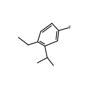 CCc1ccc(F)cc1[C](C)C